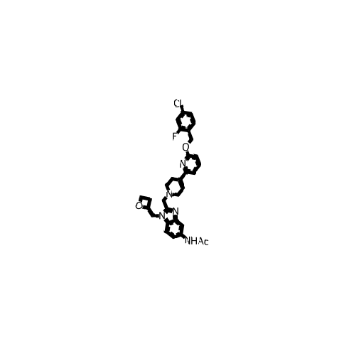 CC(=O)Nc1ccc2c(c1)nc(CN1CC=C(c3cccc(OCc4ccc(Cl)cc4F)n3)CC1)n2CC1CCO1